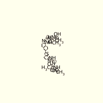 COC(=O)N[C@H](C(=O)N1CCC[C@H]1c1nc2ccc3cc(-c4ccc5c(ccc6nc([C@@H]7CCCN7C(=O)[C@@H](NC(=O)O)C(C)C)[nH]c65)c4)sc3c2[nH]1)C(C)C